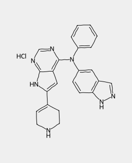 C1=C(c2cc3c(N(c4ccccc4)c4ccc5[nH]ncc5c4)ncnc3[nH]2)CCNC1.Cl